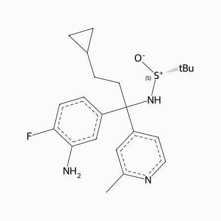 Cc1cc(C(CCC2CC2)(N[S@+]([O-])C(C)(C)C)c2ccc(F)c(N)c2)ccn1